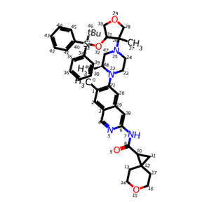 Cc1cc2cnc(NC(=O)C3CC34CCOCC4)cc2cc1N1CCN(C2(C)COCC2O[Si](c2ccccc2)(c2ccccc2)C(C)(C)C)C[C@@H]1C